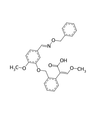 COC=C(C(=O)O)c1ccccc1COc1cc(C=NOCc2ccccc2)ccc1OC